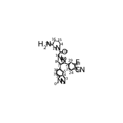 Cn1ncc2cc(-c3cn(CC(=O)N4CCCC(N)C4)nc3-c3ccc(C#N)c(F)c3)ccc21